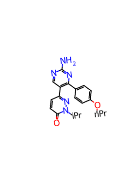 CCCOc1ccc(-c2nc(N)ncc2-c2ccc(=O)n(C(C)C)n2)cc1